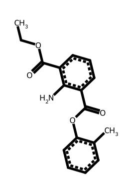 CCOC(=O)c1cccc(C(=O)Oc2ccccc2C)c1N